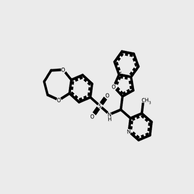 Cc1cccnc1C(NS(=O)(=O)c1ccc2c(c1)OCCCO2)c1cc2ccccc2o1